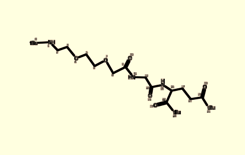 CC(C)(C)NCCOCCOCC(=O)NCC(=O)NC(CCC(=O)C(C)(C)C)C(=O)C(C)(C)C